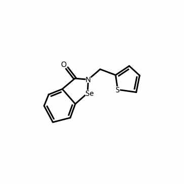 O=c1c2ccccc2[se]n1Cc1cccs1